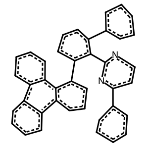 c1ccc(-c2ccnc(-c3c(-c4ccccc4)cccc3-c3cccc4c5ccccc5c5ccccc5c34)n2)cc1